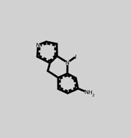 Nc1ccc2c(c1)N(I)c1ccncc1C2